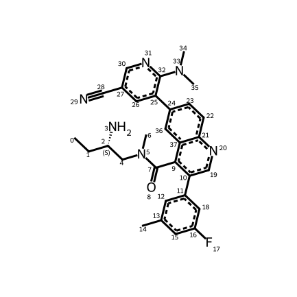 CC[C@H](N)CN(C)C(=O)c1c(-c2cc(C)cc(F)c2)cnc2ccc(-c3cc(C#N)cnc3N(C)C)cc12